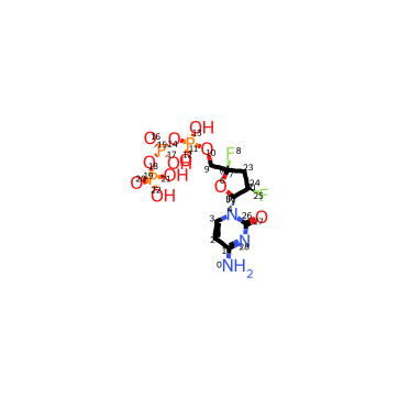 Nc1ccn([C@@H]2O[C@](F)(COP(=O)(O)OP(=O)(O)OP(=O)(O)O)C[C@H]2F)c(=O)n1